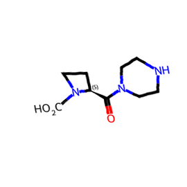 O=C([C@@H]1CCN1C(=O)O)N1CCNCC1